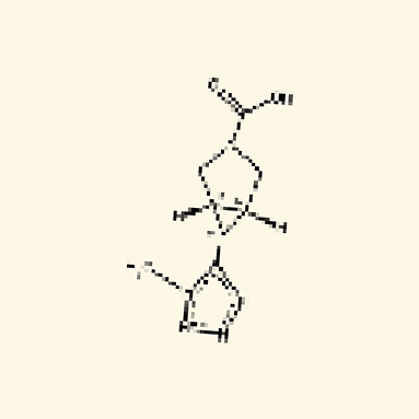 Cn1nnnc1[C@H]1[C@@H]2CN(C(=O)O)C[C@@H]21